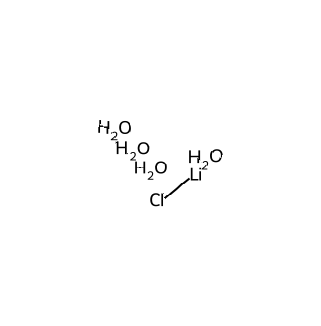 O.O.O.O.[Li][Cl]